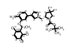 C[C@@H](Oc1cc(-c2cnn(C[C@@H]3CC(F)(F)CN3C(=O)OC(C)(C)C)c2)cnc1N)c1c(Cl)ccc(F)c1Cl